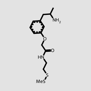 CSSCCNC(=O)COc1cccc(CC(C)N)c1